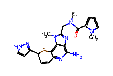 CCN(Cc1nc2c(N)nc3c(c2n1C)SC(c1cc[nH]n1)C=C3)C(=O)c1cccn1C